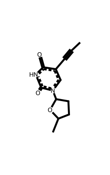 CC#Cc1cn(C2CCC(C)O2)c(=O)[nH]c1=O